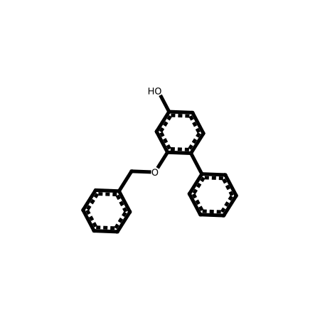 Oc1ccc(-c2ccccc2)c(OCc2ccccc2)c1